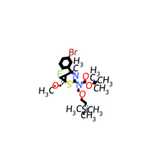 COC[C@]12CC1[C@@](C)(c1cc(Br)ccc1F)N=C(N(COCC[Si](C)(C)C)C(=O)OC(C)(C)C)S2